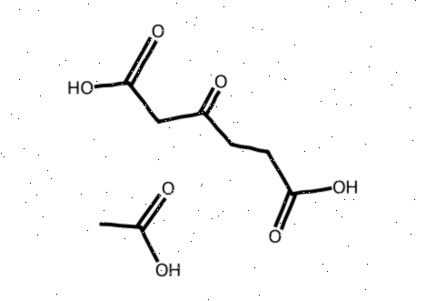 CC(=O)O.O=C(O)CCC(=O)CC(=O)O